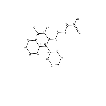 COC(C)C(CCCOC(C)=O)N(C1CCCCC1)C1CCCCC1